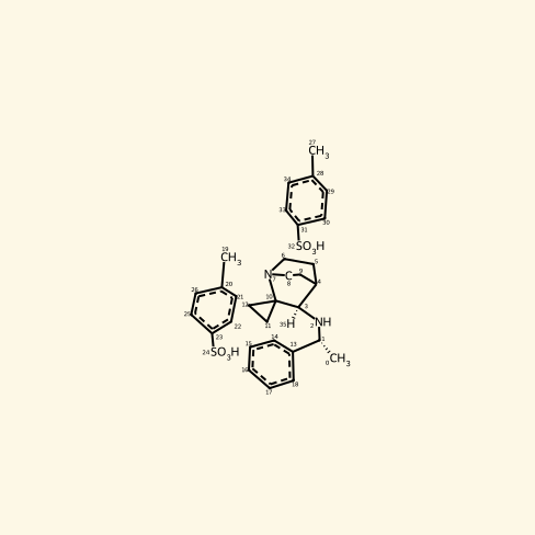 C[C@@H](N[C@@H]1C2CCN(CC2)C12CC2)c1ccccc1.Cc1ccc(S(=O)(=O)O)cc1.Cc1ccc(S(=O)(=O)O)cc1